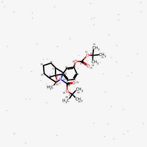 COC1(c2cccc(OC(=O)OC(C)(C)C)c2)C2CCCC1CN(C(=O)OC(C)(C)C)C2